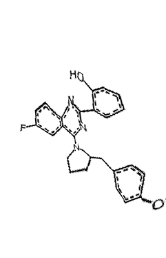 COc1ccc(CC2CCCN2c2nc(-c3ccccc3O)nc3ccc(F)cc23)cc1